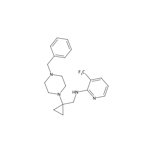 FC(F)(F)c1cccnc1NCC1(N2CCN(Cc3ccccc3)CC2)CC1